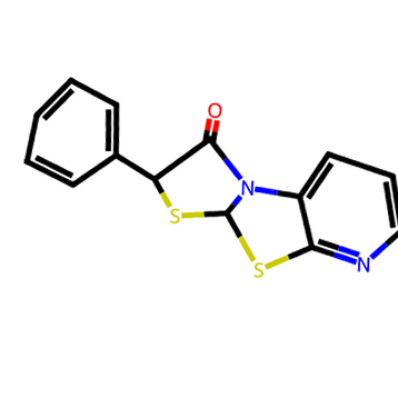 O=C1C(c2ccccc2)SC2Sc3ncccc3N12